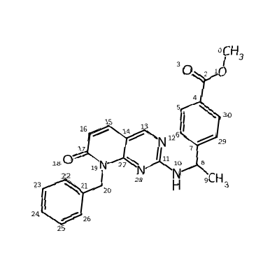 COC(=O)c1ccc(C(C)Nc2ncc3ccc(=O)n(Cc4ccccc4)c3n2)cc1